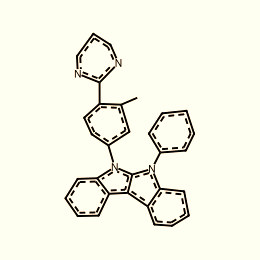 Cc1cc(-n2c3ccccc3c3c4ccccc4n(-c4ccccc4)c32)ccc1-c1ncccn1